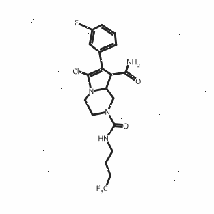 NC(=O)C1C(c2cccc(F)c2)=C(Cl)N2CCN(C(=O)NCCCC(F)(F)F)CC12